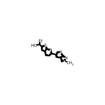 CCC(O)c1cc2ccc(-c3cnc4nn(C)cc4c3)nc2s1